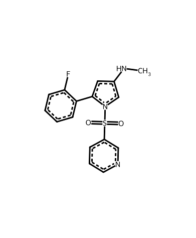 CNc1cc(-c2ccccc2F)n(S(=O)(=O)c2cccnc2)c1